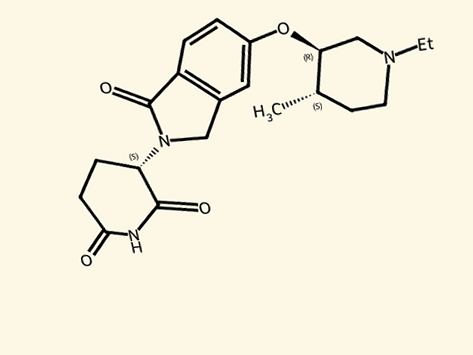 CCN1CC[C@H](C)[C@@H](Oc2ccc3c(c2)CN([C@H]2CCC(=O)NC2=O)C3=O)C1